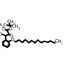 CCCCCCCCCCCCCCOc1ccccc1C(Cl)C(=O)C(=O)OC(C)(C)C